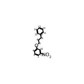 O=[N+]([O-])c1cccc(OCCCc2ccccc2)c1